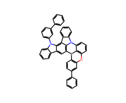 c1ccc(-c2cccc(-n3c4ccccc4c4cc5c6c(c7ccccc7n6-c6cccc7c6B5c5ccc(-c6ccccc6)cc5O7)c43)c2)cc1